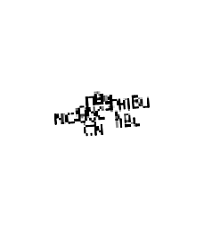 CCCC[PH](C)(CCCC)CCCC.N#CC(C#N)C#N